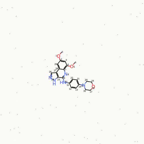 COc1cc(OC)c2nc(Nc3ccc(N4CCOCC4)cc3)c3[nH]ncc3c2c1